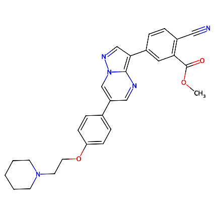 COC(=O)c1cc(-c2cnn3cc(-c4ccc(OCCN5CCCCC5)cc4)cnc23)ccc1C#N